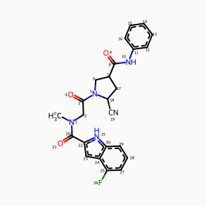 CN(CC(=O)N1CC(C(=O)Nc2ccccc2)CC1C#N)C(=O)c1cc2c(F)cccc2[nH]1